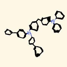 c1ccc(-c2ccc(N(c3ccc(Cc4ccc(N(c5ccccc5)c5ccccc5)cc4)cc3)c3ccc(-c4ccccc4)cc3)cc2)cc1